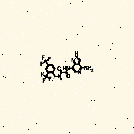 C[C@H](c1ccc(C(F)(F)F)cc1C(F)(F)F)N(C)C(=O)C(=O)Nc1cnc(N)c2c[nH]nc12